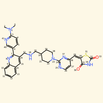 CN(C)c1ccc(-c2nc3ccccc3cc2CNCC2CCN(c3nccc(C=C4SC(=O)NC4=O)n3)CC2)cn1